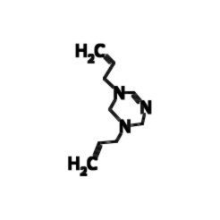 C=CCN1C=NCN(CC=C)C1